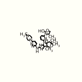 C[C@H]1COC(O)N1c1cccc(N2c3nc(Nc4ccc(N5CCN(C)CC5)nn4)ncc3[C@@]3(C)COC(C)(C)C[C@@H]23)n1